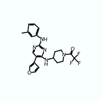 Cc1cccc(Nc2ncc(-c3ccoc3)c(NC3CCN(C(=O)C(F)(F)F)CC3)n2)c1